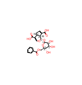 O=C(O)C1=CC[C@@H]2C(C(=O)O)=CO[C@@H](O[C@@H]3O[C@H](COC(=O)c4ccccc4)[C@@H](O)[C@H](O)[C@H]3O)[C@H]12